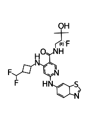 CC(C)(O)[C@H](F)CNC(=O)c1cnc(NC2=CC3SC=NC3C=C2)cc1NC1CC(C(F)F)C1